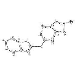 CC(C)c1cc2ncc(Cc3cc4cncnc4o3)nc2o1